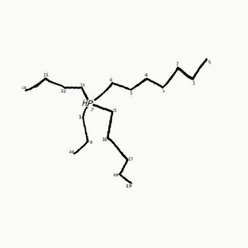 CCCCCCC[PH](CCC)(CCCC)CCCCC